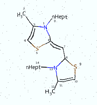 CCCCCCCN1C(C)=CSC1=CC1SC=C(C)N1CCCCCCC